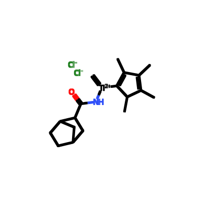 [CH2]=[Ti+2]([NH]C(=O)C1CC2CCC1C2)[C]1=C(C)C(C)=C(C)C1C.[Cl-].[Cl-]